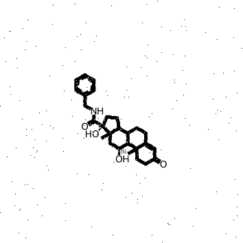 CC12CCC(=O)C=C1CCC1C2[C@@H](O)CC2(C)C1CC[C@]2(O)C(=O)NCc1ccccc1